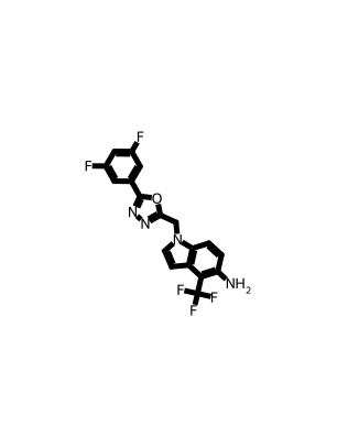 Nc1ccc2c(ccn2Cc2nnc(-c3cc(F)cc(F)c3)o2)c1C(F)(F)F